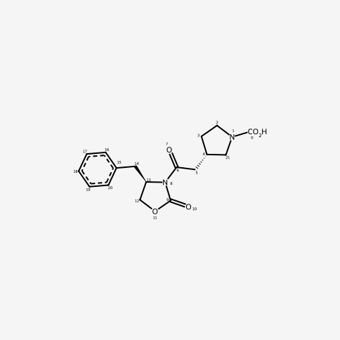 O=C(O)N1CC[C@@H](CC(=O)N2C(=O)OC[C@H]2Cc2ccccc2)C1